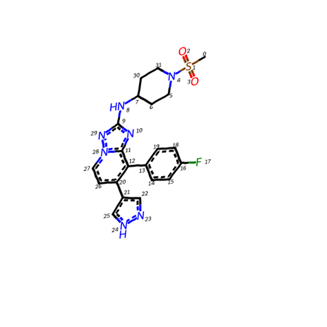 CS(=O)(=O)N1CCC(Nc2nc3c(-c4ccc(F)cc4)c(-c4cn[nH]c4)ccn3n2)CC1